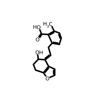 Cc1cccc(CC=C2c3ccoc3CCC2O)c1C(=O)O